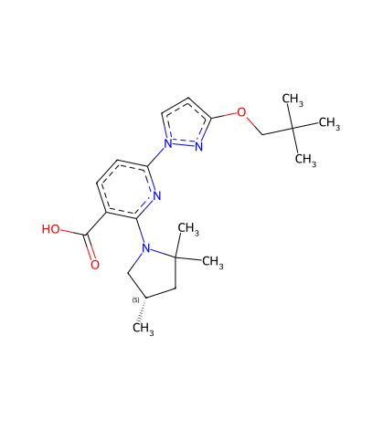 C[C@@H]1CN(c2nc(-n3ccc(OCC(C)(C)C)n3)ccc2C(=O)O)C(C)(C)C1